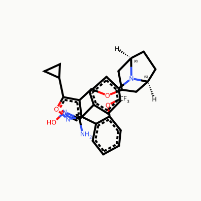 NC(=NO)c1ccc(N2[C@@H]3CC[C@H]2CC(OCc2c(-c4ccccc4OC(F)(F)F)noc2C2CC2)C3)cc1